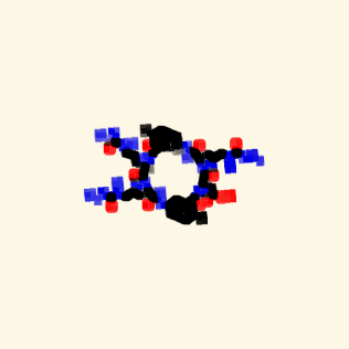 NC(=O)NCCC[C@@H]1NC(=O)[C@H](CC(=O)O)NC(=O)[C@@]23CC4C[C@H](C[C@@](C4)(C2)NC(=O)[C@H](CCCNC(N)=O)NC(=O)[C@H](CCCNC(N)=O)NC(=O)[C@@]24CC5C[C@H](C[C@@](C5)(C2)NC1=O)C4)C3